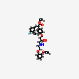 COC(=O)/C(=C/c1ccc(F)c(C)c1)c1ccc(OCC(O)CNCCOc2ccccc2OC)cc1